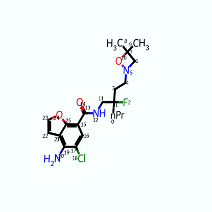 CCCC(F)(CCN1CC(C)(C)O1)CNC(=O)c1cc(Cl)c(N)c2ccoc12